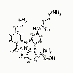 NCCCC(=O)Nc1cccc(Cn2c(C(=O)N3CCC(CCN)CC3)cc3ccc(/C(N)=N/O)cc32)c1